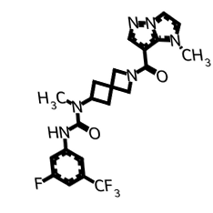 CN(C(=O)Nc1cc(F)cc(C(F)(F)F)c1)C1CC2(C1)CN(C(=O)c1cnn3ccn(C)c13)C2